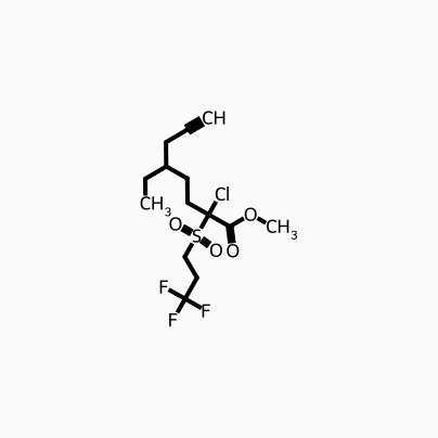 C#CCC(CC)CCC(Cl)(C(=O)OC)S(=O)(=O)CCC(F)(F)F